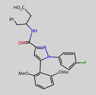 COc1cccc(OC)c1-c1cc(C(=O)NC(CC(=O)O)CC(C)C)nn1-c1ccc(F)cc1